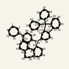 c1ccc(-c2ccc(N(c3ccc4c(c3)C(c3ccccc3)(c3ccccc3)c3ccccc3-4)c3cccc4ccc5ccccc5c34)cc2)cc1